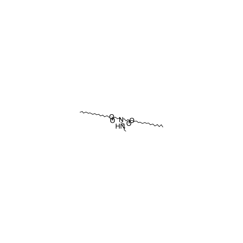 CCCCCCCCCCCCCCCOC(=O)CCCN(CCCC(=O)OCCCCCCCCCCCCCCC)CCNCCC